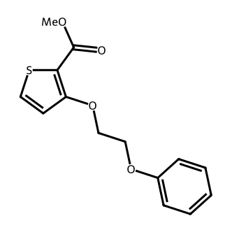 COC(=O)c1sccc1OCCOc1ccccc1